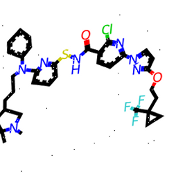 CN1CC(CCCN(c2ccccc2)c2cccc(SNC(=O)c3ccc(-n4ccc(OCCC5(C(F)(F)F)CC5)n4)nc3Cl)n2)CC1(C)C